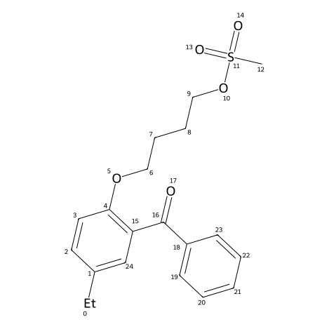 CCc1ccc(OCCCCOS(C)(=O)=O)c(C(=O)c2ccccc2)c1